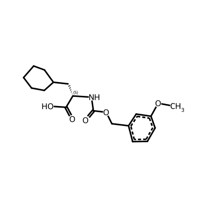 COc1cccc(COC(=O)N[C@@H](CC2CCCCC2)C(=O)O)c1